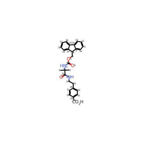 CC(C)(NC(=O)OCC1c2ccccc2-c2ccccc21)C(=O)NCCc1ccc(C(=O)O)cc1